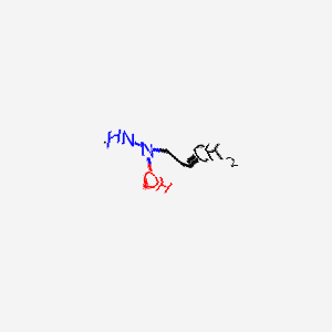 C=CCN([NH])O